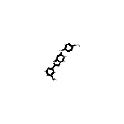 Cc1ccc(Nc2cc3nc(-c4cccc([N+](=O)[O-])c4)cn3cn2)cc1